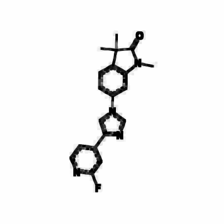 CN1C(=O)C(C)(C)c2ccc(-n3cnc(-c4ccnc(F)c4)c3)cc21